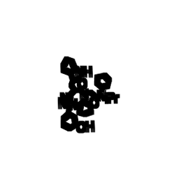 CC(C)N(C(=O)CN1C(=O)C(Cc2c[nH]c3ccccc23)c2nnc(-c3cccc(O)c3)n2-c2ccccc21)c1ccccc1